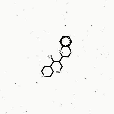 NC(C1CCNCC1)C(CO)C1COc2ccccc2O1